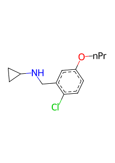 CCCOc1ccc(Cl)c(CNC2CC2)c1